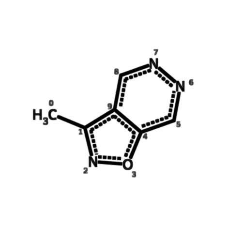 Cc1noc2cnncc12